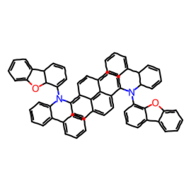 C1=CC2c3ccccc3OC2C(N(c2ccccc2-c2ccccc2)c2ccc3ccc4c(N(c5cccc6c5oc5ccccc56)C5C=CC=CC5c5ccccc5)ccc5ccc2c3c54)=C1